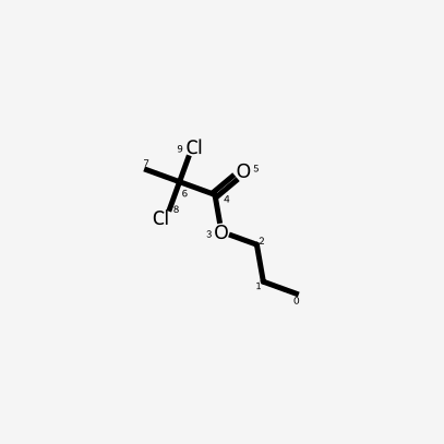 CCCOC(=O)C(C)(Cl)Cl